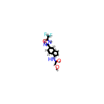 COCC(=O)N[C@@H]1CCc2cc(-c3noc(C(F)F)n3)ccc21